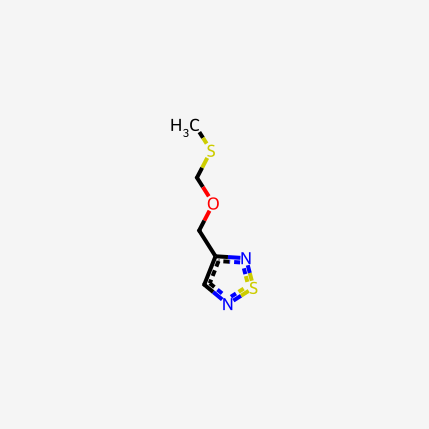 CSCOCc1cnsn1